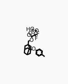 Cc1ccc(OC23CC4CC(CC(COC(=O)C(F)(F)S(=O)(=O)O)(C4)C2)C3)cc1